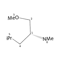 CN[C@@H](COC)CC(C)C